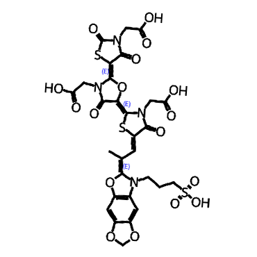 C/C(C=c1s/c(=c2/o/c(=C3/SC(=O)N(CC(=O)O)C3=O)n(CC(=O)O)c2=O)n(CC(=O)O)c1=O)=C1\Oc2cc3c(cc2N1CCCS(=O)(=O)O)OCO3